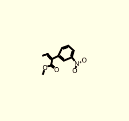 CC=C(C(=O)OC)c1cccc([N+](=O)[O-])c1